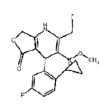 COC(=O)C1=C(CF)NC2=C(C(=O)OC2)[C@H]1c1cc(F)ccc1C1CC1